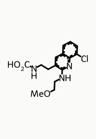 COCCNc1nc2c(Cl)cccc2cc1CCNC(=O)O